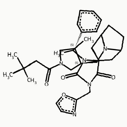 CC(C)N1C(=O)N(Cc2ncco2)C(=O)C12CC1CCC(C2)N1C[C@H]1CN(C(=O)CC(C)(C)C)C[C@@H]1c1ccccc1